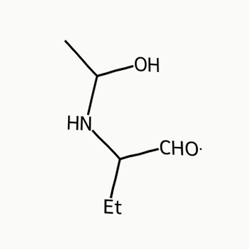 CCC([C]=O)NC(C)O